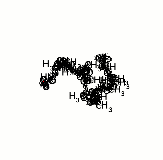 COc1cc2c(cc1OCCCCCOc1cc3c(cc1OC)C(=O)N1C=C(C)C[C@H]1[C@H](O)N3C(=O)OCc1ccc(NC(=O)[C@H](C)NC(=O)[C@@H](NC(=O)CCOCCNC(=O)CCN3C(=O)C=CC3=O)C(C)C)cc1)N(C(=O)OCc1ccc(NC(=O)[C@H](C)NC(=O)[C@@H](NC(=O)CCOCCNC(=O)CCN3C(=O)C=CC3=O)C(C)C)cc1)[C@@H](O)[C@@H]1CC(C)=CN1C2=O